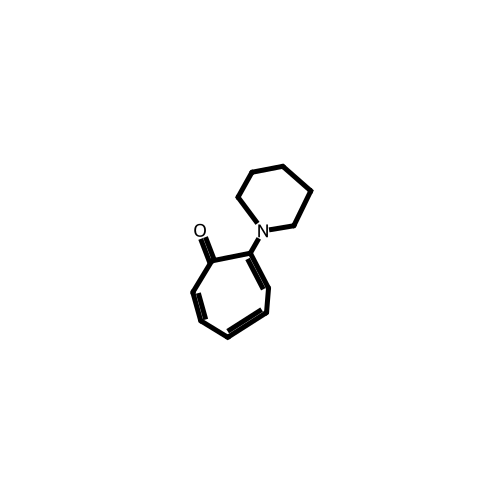 O=c1cccccc1N1CCCCC1